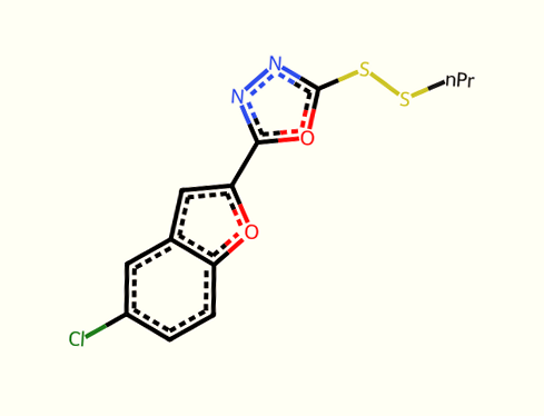 CCCSSc1nnc(-c2cc3cc(Cl)ccc3o2)o1